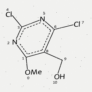 COc1nc(Cl)nc(Cl)c1CO